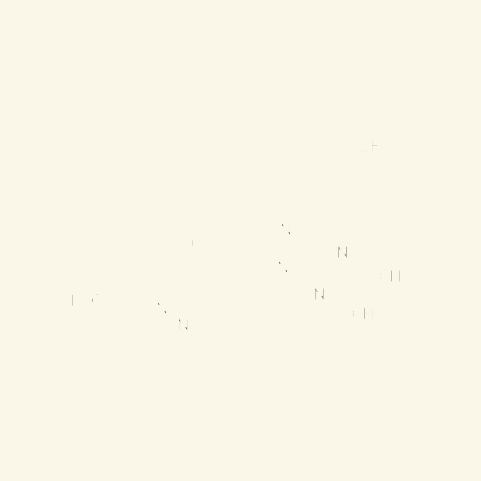 Cc1nc2nc([C@H]3CCO[C@@H](c4cnn(C5CC5C)c4)C3)nc(-c3ccc(C(F)(F)F)cc3F)c2nc1C